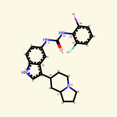 O=C(Nc1ccc2[nH]cc(C3CCN4CCCC4C3)c2c1)Nc1c(F)cccc1I